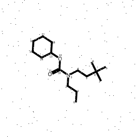 CCCN(CCC(C)(C)C)C(=O)OC1CCCCC1